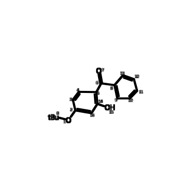 CC(C)(C)Oc1ccc(C(=O)c2ccccc2)c(O)c1